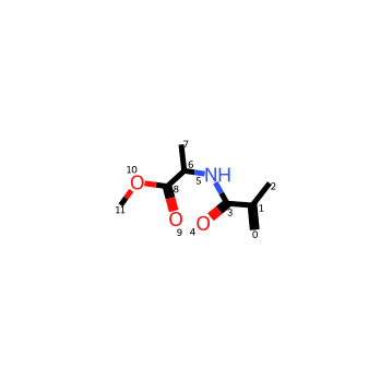 C=C(C)C(=O)NC(C)C(=O)OC